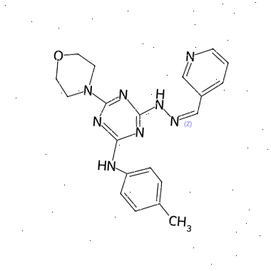 Cc1ccc(Nc2nc(N/N=C\c3cccnc3)nc(N3CCOCC3)n2)cc1